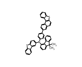 CC1(C)c2ccccc2-c2c(N(c3ccc(-c4ccc5c(ccc6sc7ccccc7c65)c4)cc3)c3ccc4sc5ccccc5c4c3)cccc21